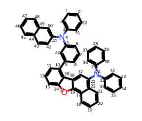 c1ccc(N(c2cccc(-c3cccc4oc5c6ccccc6c(N(c6ccccc6)c6ccccc6)cc5c34)c2)c2ccc3ccccc3c2)cc1